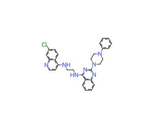 Clc1ccc2c(NCCNc3nc(N4CCN(c5ccccc5)CC4)nc4ccccc34)ccnc2c1